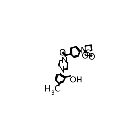 Cc1ccc(N2CCN(C(=O)c3ccc(N4CCCS4(=O)=O)cc3)CC2)c(CO)c1